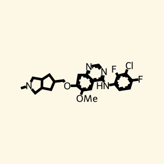 COc1cc2c(Nc3ccc(F)c(Cl)c3F)ncnc2cc1OCC1CC2CN(C)CC2C1